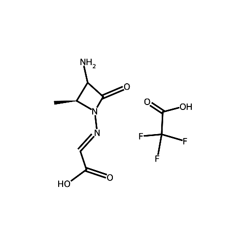 C[C@H]1C(N)C(=O)N1N=CC(=O)O.O=C(O)C(F)(F)F